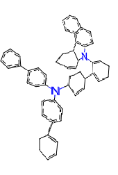 C1=CCCC(c2ccc(N(c3ccc(-c4ccccc4)cc3)C3C=CC(C4=CCCC=C4N4c5ccc6ccccc6c5C5CCC=CC54)CC3)cc2)=C1